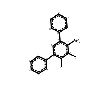 Cc1c(-c2ccccc2)cc(-c2ccccc2)c(N)c1C